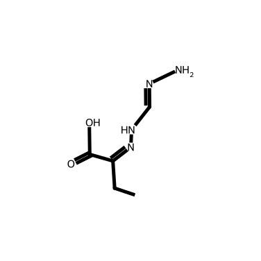 CCC(=NNC=NN)C(=O)O